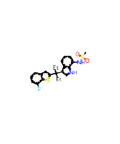 CCC(CC)(c1cc2cccc(F)c2s1)c1c[nH]c2c(NS(C)(=O)=O)cccc12